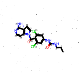 CCCNC(=O)Nc1cc(Cl)c(C(=O)n2ccc3c(N)nccc32)c(Cl)c1